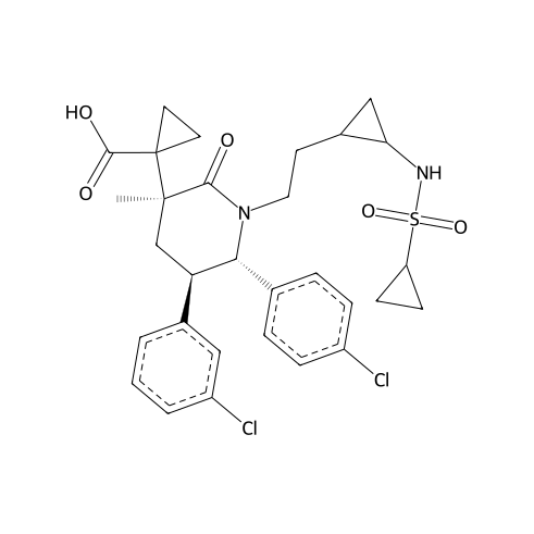 C[C@@]1(C2(C(=O)O)CC2)C[C@H](c2cccc(Cl)c2)[C@@H](c2ccc(Cl)cc2)N(CCC2CC2NS(=O)(=O)C2CC2)C1=O